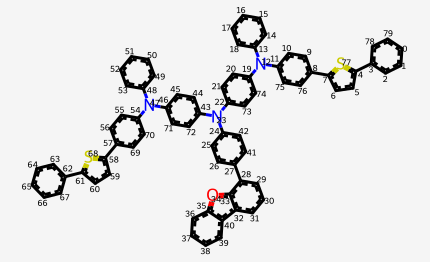 c1ccc(-c2ccc(-c3ccc(N(c4ccccc4)c4ccc(N(c5ccc(-c6cccc7c6oc6ccccc67)cc5)c5ccc(N(c6ccccc6)c6ccc(-c7ccc(-c8ccccc8)s7)cc6)cc5)cc4)cc3)s2)cc1